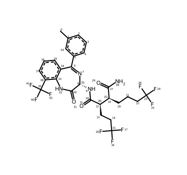 Cc1cccc(C2=N[C@H](NC(=O)[C@H](CCC(F)(F)F)[C@H](CCCC(F)(F)F)C(N)=O)C(=O)Nc3c2cccc3C(F)(F)F)c1